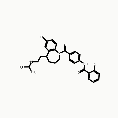 CC(C)NCCC1CCCN(C(=O)c2ccc(NC(=O)c3ccccc3Cl)cc2)c2ccc(Cl)cc21